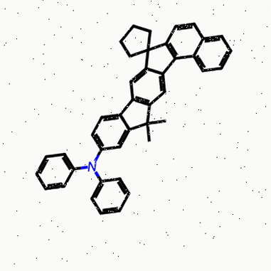 CC1(C)c2cc(N(c3ccccc3)c3ccccc3)ccc2-c2cc3c(cc21)-c1c(ccc2ccccc12)C31CCCC1